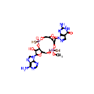 CO[PH]1(S)OCC2OC(n3cnc4c(N)ncnc43)C(O)C2OP(=O)(S)OCC2OC(n3ncc4c(=O)[nH]c(N)nc43)C(O1)C2O